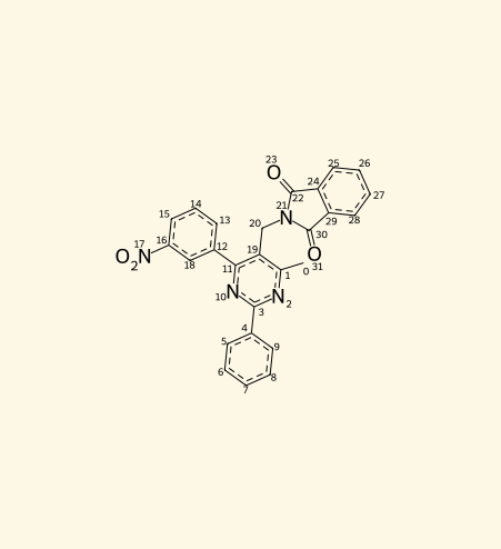 Cc1nc(-c2ccccc2)nc(-c2cccc([N+](=O)[O-])c2)c1CN1C(=O)c2ccccc2C1=O